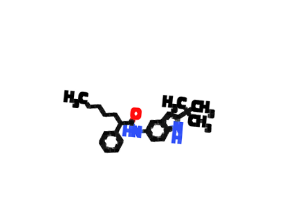 CCCCCC(C(=O)Nc1ccc2[nH]c(C(C)(C)C)cc2c1)c1ccccc1